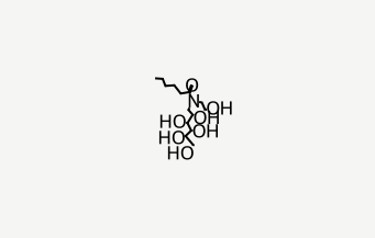 CCCCCC(=O)N(CCO)C[C@@H](O)[C@H](O)[C@@H](O)[C@@H](O)CO